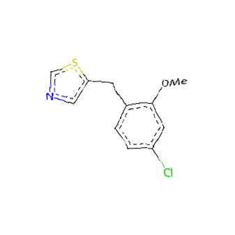 COc1cc(Cl)ccc1Cc1cncs1